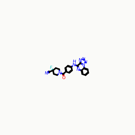 N#CC1(F)CCN(C(=O)c2ccc(Nc3nc4ccccc4n4nnnc34)cc2)CC1